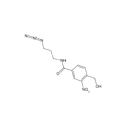 [N-]=[N+]=NCCCNC(=O)c1ccc(CO)c([N+](=O)[O-])c1